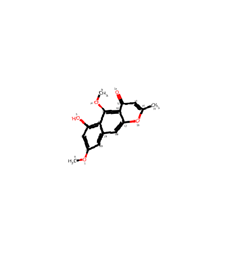 COc1cc(O)c2c(OC)c3c(=O)cc(C)oc3cc2c1